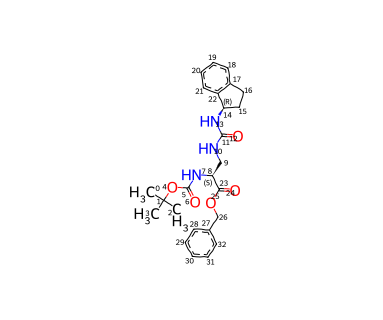 CC(C)(C)OC(=O)N[C@@H](CNC(=O)N[C@@H]1CCc2ccccc21)C(=O)OCc1ccccc1